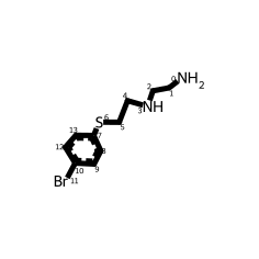 NCCNCCSc1ccc(Br)cc1